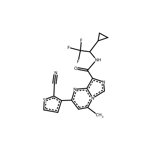 Cc1cc(-c2ccsc2C#N)nc2c(C(=O)NC(C3CC3)C(F)(F)F)ncn12